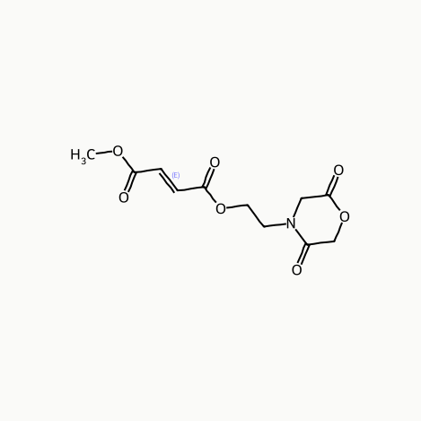 COC(=O)/C=C/C(=O)OCCN1CC(=O)OCC1=O